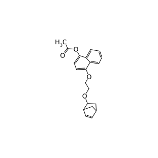 CC(=O)Oc1ccc(OCCOC2CC3C=CC2C3)c2ccccc12